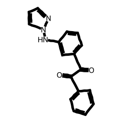 O=C(C(=O)c1cccc(Nn2cccn2)c1)c1ccccc1